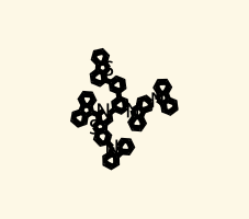 c1cc(-c2cc(-c3cc4c(sc5ccc(-n6c7ccccc7c7ccccc76)cc54)c(C4c5ccccc5-c5ccccc54)n3)cc(-n3c4ccccc4c4cc(-n5c6ccccc6c6ccccc65)ccc43)c2)cc(-c2cccc3c2sc2ccccc23)c1